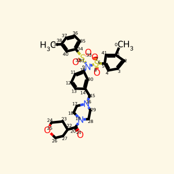 Cc1cccc(S(=O)(=O)N(c2cccc(CN3CCN(C(=O)C4CCOCC4)CC3)c2)S(=O)(=O)c2cccc(C)c2)c1